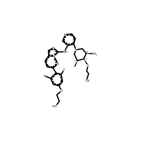 C[C@H]1CN(c2ccncc2Nc2ncc3ccc(-c4c(F)cc(OCCO)cc4F)nn23)C[C@@H](N)[C@H]1OCCC#N